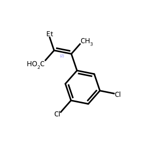 CC/C(C(=O)O)=C(\C)c1cc(Cl)cc(Cl)c1